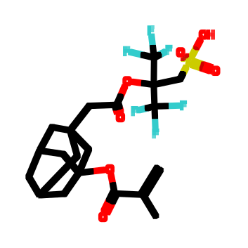 C=C(C)C(=O)OC12CC3CC(CC(CC(=O)OC(CS(=O)(=O)O)(C(F)(F)F)C(F)(F)F)(C3)C1)C2